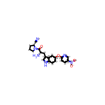 N#C[C@@H]1CCCN1C(=O)[C@@H](N)Cc1c[nH]c2ccc(Oc3ccc([N+](=O)[O-])cn3)cc12